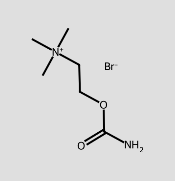 C[N+](C)(C)CCOC(N)=O.[Br-]